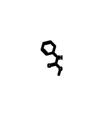 COC(=O)NC1C=CC=CC1